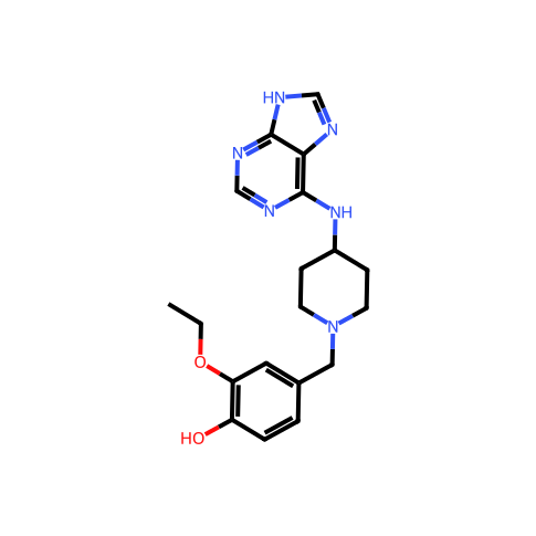 CCOc1cc(CN2CCC(Nc3ncnc4[nH]cnc34)CC2)ccc1O